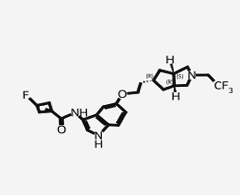 O=C(Nc1c[nH]c2ccc(OCC[C@@H]3C[C@@H]4CN(CC(F)(F)F)C[C@@H]4C3)cc12)C12CC(F)(C1)C2